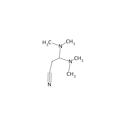 CN(C)C(CC#N)N(C)C